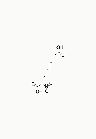 O=C(O)CCCCCCCC(C(=O)O)[N+](=O)[O-]